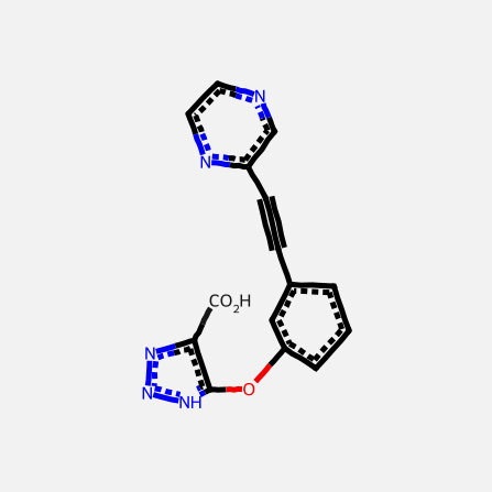 O=C(O)c1nn[nH]c1Oc1cccc(C#Cc2cnccn2)c1